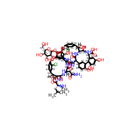 CN[C@H](CC(C)C)C(=O)N[C@H]1C(=O)N[C@@H](CC(N)=O)C(=O)N[C@H]2C(=O)N[C@H]3C(=O)N[C@H](C(=O)N[C@@H](C(=O)O)c4cc(O)cc(O)c4-c4cc3ccc4O)[C@H](O)c3ccc(c(Cl)c3)Oc3cc2cc(c3OC2O[C@@H](CO)[C@@H](O)[C@H](O)[C@@H]2O[C@@H]2CC(=N)[C@H](O)[C@@H](C)O2)Oc2ccc(cc2Cl)[C@H]1O